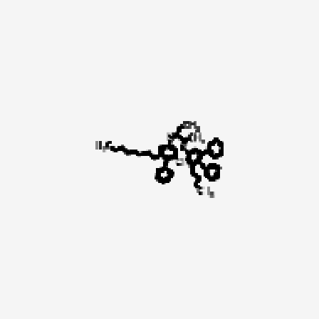 CCCCCCCCc1cc(N=C(CC)C(C)=Nc2cc(CCCC)c(-c3ccccc3)c(-c3ccccc3)c2)cc(C)c1-c1ccccc1